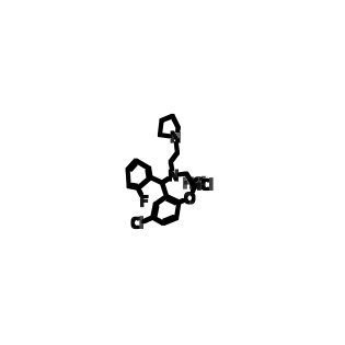 Cl.Cl.Fc1ccccc1C1c2cc(Cl)ccc2OCCN1CCN1CCCC1